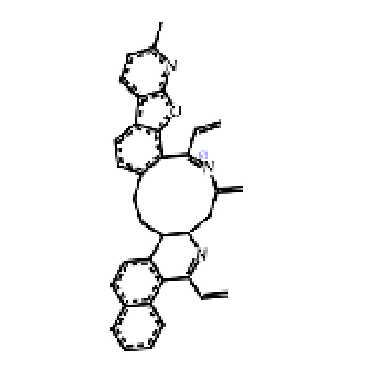 C=CC1=NC2CC(=C)/N=C(/C=C)c3c(ccc4c3oc3nc(C)ccc34)CCC2c2ccc3ccccc3c21